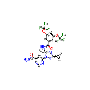 C[C@H](NC(=O)c1cc(OC(F)(F)F)cc(OC(F)(F)F)c1)c1nc(C2CC2)nn1-c1cc(C(N)=O)ncn1